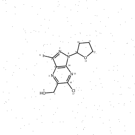 OCc1nc2c(I)nn(C3CCCO3)c2nc1Cl